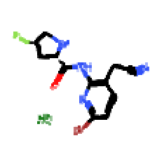 Cl.N#CCc1ccc(Br)nc1NC(=O)[C@@H]1C[C@@H](F)CN1